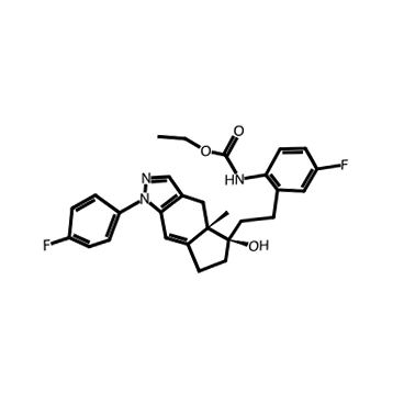 CCOC(=O)Nc1ccc(F)cc1CC[C@]1(O)CCC2=Cc3c(cnn3-c3ccc(F)cc3)C[C@@]21C